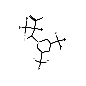 C=C(C)C(F)(C(F)N1CC(C(F)(F)F)CC(C(F)(F)F)C1)C(F)(F)F